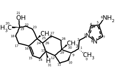 C[C@@H](Cn1cc(N)cn1)[C@H]1CCC2[C@@H]3CC=C4CC[C@](C)(O)CC[C@]4(C)C3CC[C@@]21C